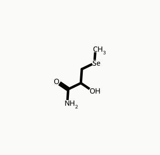 C[Se]CC(O)C(N)=O